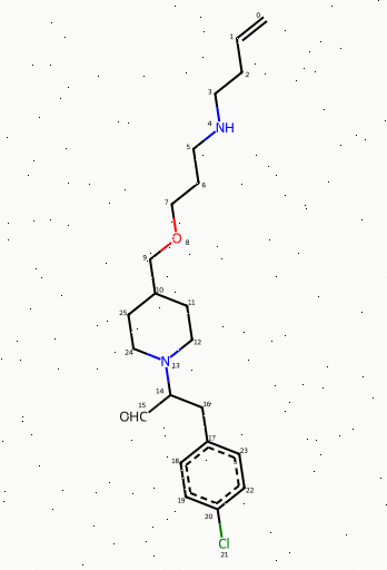 C=CCCNCCCOCC1CCN(C(C=O)Cc2ccc(Cl)cc2)CC1